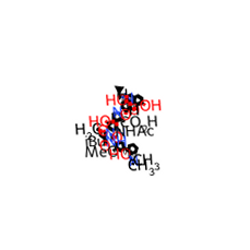 C=CCC1(C(C)CC)C(=O)NC(=O)NC1=O.CC(=O)Nc1ccc(O)cc1.COc1cccc([C@@]2(O)CCCC[C@@H]2CN(C)C)c1.O=C(O)c1cccnc1.O=C1CC[C@@]2(O)[C@H]3Cc4ccc(O)c5c4[C@@]2(CCN3CC2CC2)[C@H]1O5